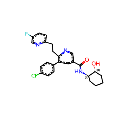 O=C(N[C@@H]1CCCC[C@H]1O)c1cnc(CCc2ccc(F)cn2)c(-c2ccc(Cl)cc2)c1